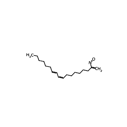 C=C(CCCCCC/C=C\C=C\CCCCCC)N=O